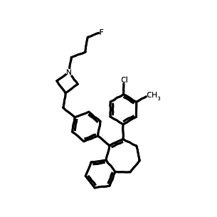 Cc1cc(C2=C(c3ccc(CC4CN(CCCF)C4)cc3)c3ccccc3CCC2)ccc1Cl